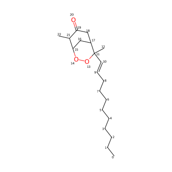 CCCCCCCCCC=CC1(C)OOC2CC1CC(=O)C2C